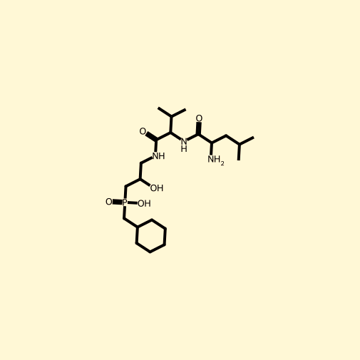 CC(C)CC(N)C(=O)NC(C(=O)NCC(O)CP(=O)(O)CC1CCCCC1)C(C)C